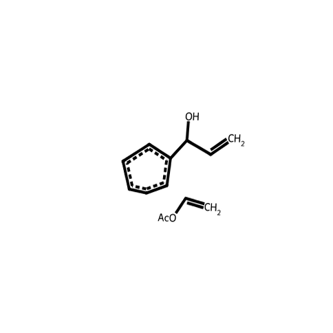 C=CC(O)c1ccccc1.C=COC(C)=O